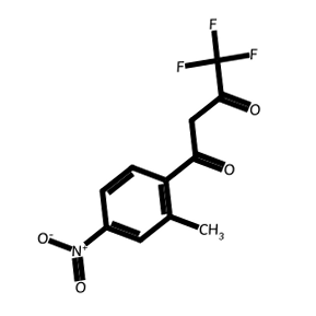 Cc1cc([N+](=O)[O-])ccc1C(=O)CC(=O)C(F)(F)F